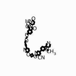 Cn1c2ccncc2c2ccc(-c3cnc(O[C@H]4C[C@H](Oc5ccc(C#CCOCCOc6ccc7c(c6)C(=O)N(C6CCC(=O)NC6=O)C7=O)nc5)C4)c(C#N)c3)cc21